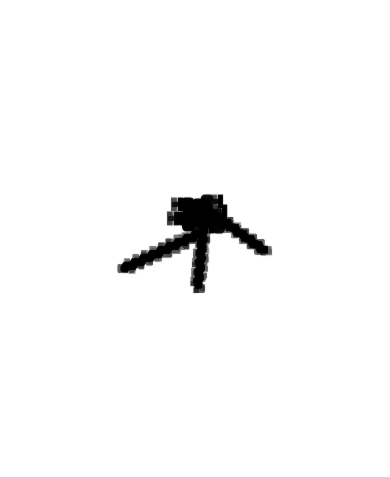 CCCCCCCCCCCCCCCCCCC(CCCCCCCCCCC)CC(=O)O[C@H]1[C@H](OP(=O)(O)O)[C@@H](CO)OC(O)[C@@H]1NC(=O)C[C@H](O)CCCCCCCCCCC